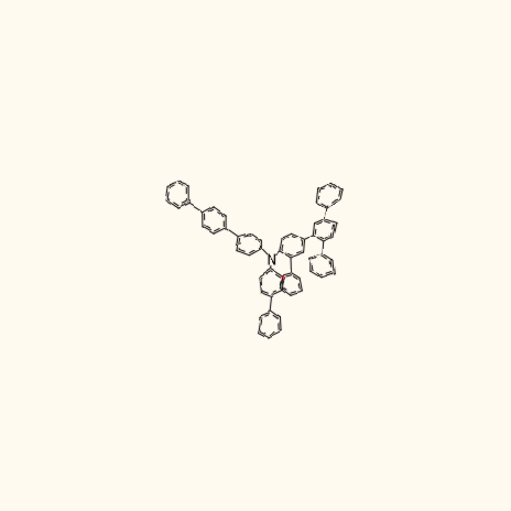 c1ccc(-c2ccc(-c3ccc(N(c4ccc(-c5ccccc5)cc4)c4ccc(-c5cc(-c6ccccc6)ccc5-c5ccccc5)cc4-c4ccccc4)cc3)cc2)cc1